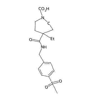 CCC1(C(=O)NCc2ccc(S(C)(=O)=O)cc2)CCN(C(=O)O)CC1